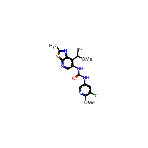 COc1ncc(NC(=O)Nc2cnc3sc(C)nc3c2C(OC)C(C)C)cc1Cl